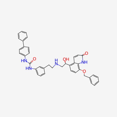 O=C(Nc1ccc(-c2ccccc2)cc1)Nc1cccc(CCNC[C@@H](O)c2ccc(OCc3ccccc3)c3[nH]c(=O)ccc23)c1